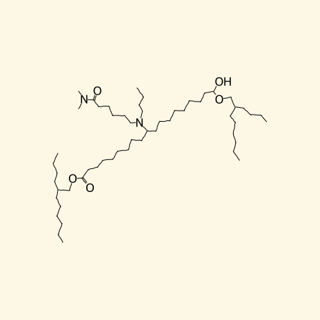 CCCCCCC(CCCC)COC(=O)CCCCCCCCC(CCCCCCCCC(O)OCC(CCCC)CCCCCC)N(CCCC)CCCCCC(=O)N(C)C